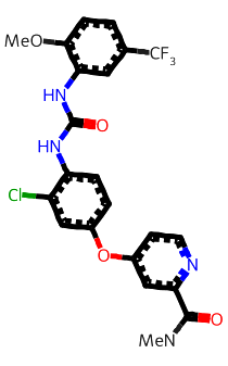 CNC(=O)c1cc(Oc2ccc(NC(=O)Nc3cc(C(F)(F)F)ccc3OC)c(Cl)c2)ccn1